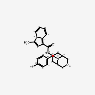 Cc1cc(C(=O)NC2CC3COCC(C2)N3Cc2ccc(F)cc2)c2ccccn12